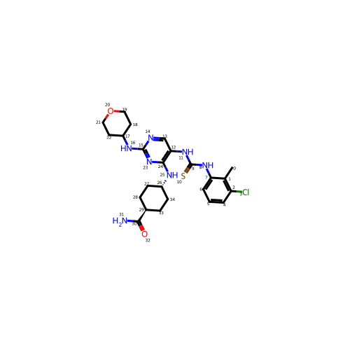 Cc1c(Cl)cccc1NC(=S)Nc1cnc(NC2CCOCC2)nc1N[C@H]1CC[C@H](C(N)=O)CC1